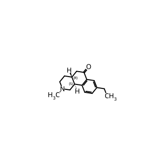 CCc1ccc2c(c1)C(=O)C[C@H]1CCN(C)C[C@H]21